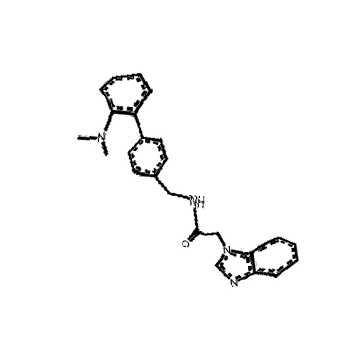 CN(C)c1ccccc1-c1ccc(CNC(=O)Cn2cnc3ccccc32)cc1